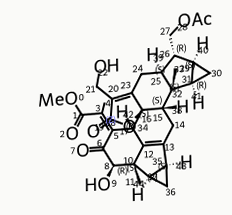 COC(=O)/C(C)=C1\C(=O)[C@H](O)[C@]2(C)C3=C(C[C@@H]4[C@]5(OC(=O)C(CO)=C5C[C@H]5[C@H](COC(C)=O)[C@H]6C[C@H]6[C@]45C)[C@H]31)[C@H]1C[C@H]12